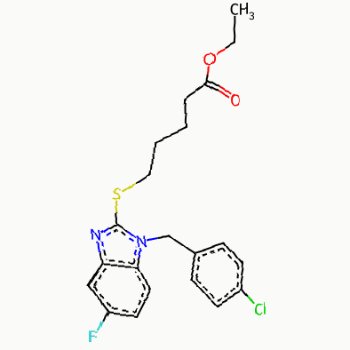 CCOC(=O)CCCCSc1nc2cc(F)ccc2n1Cc1ccc(Cl)cc1